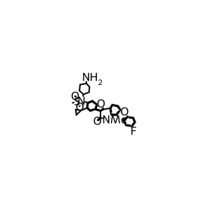 CNC(=O)c1c(-c2ccc(Oc3ccc(F)cc3)cc2)oc2cc(N(C3CCC(N)CC3)S(C)(=O)=O)c(C3CC3)cc12